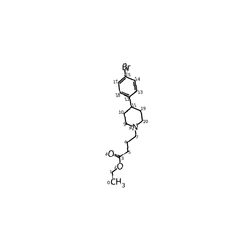 CCOC(=O)CCCN1CCC(c2ccc(Br)cc2)CC1